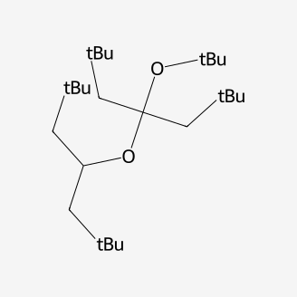 CC(C)(C)CC(CC(C)(C)C)OC(CC(C)(C)C)(CC(C)(C)C)OC(C)(C)C